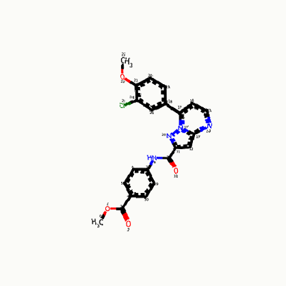 COC(=O)c1ccc(NC(=O)c2cc3nccc(-c4ccc(OC)c(Cl)c4)n3n2)cc1